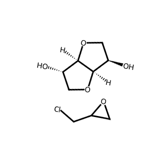 ClCC1CO1.O[C@@H]1CO[C@H]2[C@@H]1OC[C@@H]2O